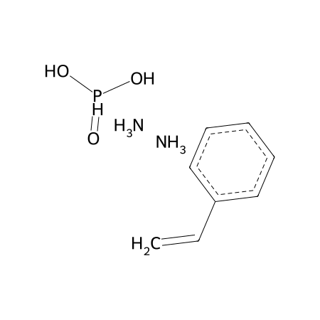 C=Cc1ccccc1.N.N.O=[PH](O)O